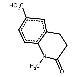 CN1C(=O)CCc2cc(C(=O)O)ccc21